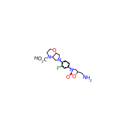 NCC1CN(c2ccc(N3CC4OCCN(C(=O)O)C4C3)c(F)c2)C(=O)O1